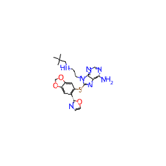 CC(C)(C)CNCCn1c(Sc2cc3c(cc2-c2ncco2)OCO3)nc2c(N)ncnc21